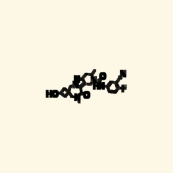 CC1Cc2nn3c(c2CN1C(=O)Nc1ccc(F)c(C#N)c1)C(=O)N(C)CC1(CC(O)C1)C3